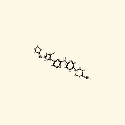 Cc1nc(NC2CCCC2)sc1-c1ccnc(Nc2ccc(N3CCC(N)CC3)cn2)n1